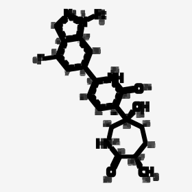 CCn1ncc2c(F)cc(-c3ccc([C@]4(O)CC[C@@H](C)C(=O)NC4)c(=O)[nH]3)cc21